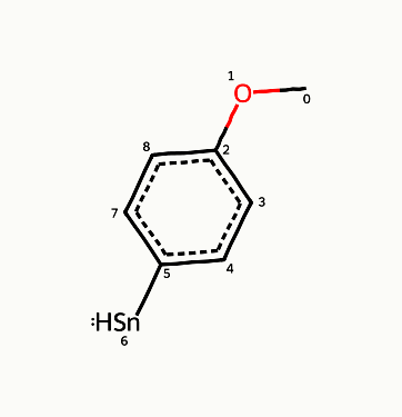 COc1cc[c]([SnH])cc1